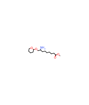 COC(=O)CCCCCCC(N)COC1CCCCO1